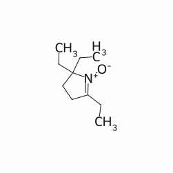 CCC1=[N+]([O-])C(CC)(CC)CC1